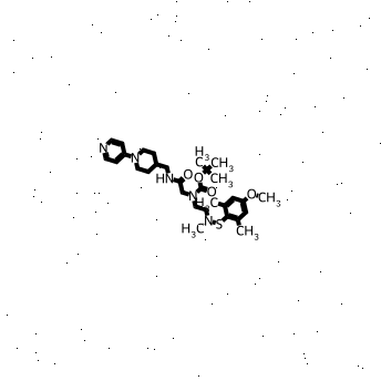 COc1cc(C)c(SN(C)CCN(CC(=O)NCC2CCN(c3ccncc3)CC2)C(=O)OC(C)(C)C)c(C)c1